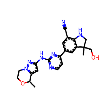 CC1OCCn2nc(Nc3nccc(-c4cc(C#N)c5c(c4)C(C)(CO)CN5)n3)cc21